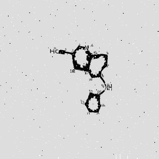 C#Cc1cnc2ccc(Nc3ccccc3)cc2c1